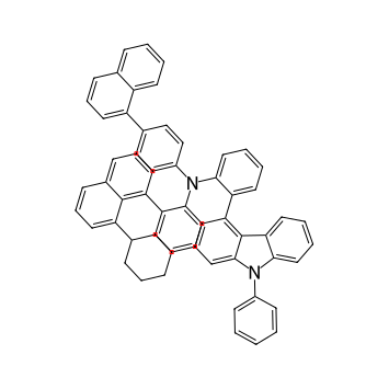 c1ccc(-n2c3ccccc3c3c(-c4ccccc4N(c4ccc(-c5cccc6ccccc56)cc4)c4ccccc4-c4cccc5cccc(C6CCCCC6)c45)cccc32)cc1